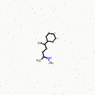 CCC(CCC(C)N[C@H](C)CC)C1CCCCC1